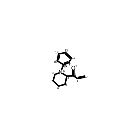 C=CC(=O)C1CCCCN1c1ccccc1